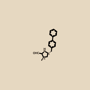 C[C@@H]1C[C@@H](Cc2ccc(-c3ccccc3)cc2)NC1C=O